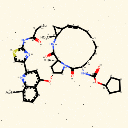 CSc1cccc2c(O[C@@H]3C[C@H]4C(=O)N[C@]5(C(=O)O)CC5/C=C\CCCCC[C@H](NC(=O)OC5CCCC5)C(=O)N4C3)cc(-c3csc(NC(=O)CC(C)(C)C)n3)nc12